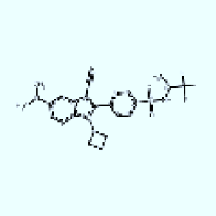 C[C@H](NS(=O)(=O)c1ccc(-c2c(C#N)c3cc(N(C)C)cnc3n2C2CCC2)nc1)C(F)(F)F